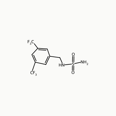 NS(=O)(=O)NCc1cc(C(F)(F)F)cc(C(F)(F)F)c1